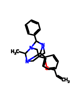 C=CCOCC12CN3C(C)N(C1)C(c1ccccc1)N(C2)C3c1ccccc1